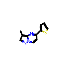 Cc1cnn2ccc(-c3cccs3)nc12